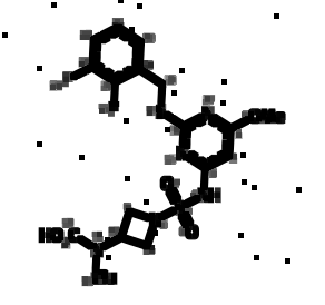 COc1cc(NS(=O)(=O)N2CC(N(C(=O)O)C(C)(C)C)C2)nc(SCc2cccc(F)c2F)n1